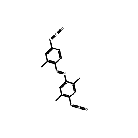 Cc1cc(N=Nc2ccc(N=C=O)cc2C)c(C)cc1N=C=O